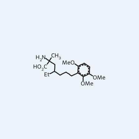 CCC(CCCc1c(OC)ccc(OC)c1OC)CC(C)(N)C(=O)O